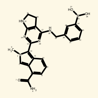 Cn1cc2c(C(N)=O)cccc2c1-c1nc2c(c(NCc3cccc(B(O)O)c3)n1)CCN2